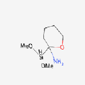 CO[SiH](OC)C1(N)CCCCO1